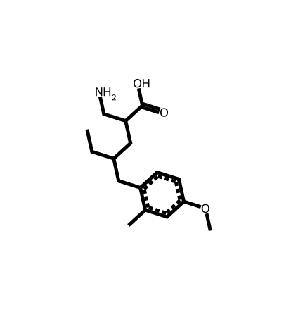 CCC(Cc1ccc(OC)cc1C)CC(CN)C(=O)O